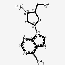 Nc1ncnc2c1ncn2[C@H]1C[C@H](N)C(CO)O1